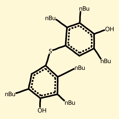 CCCCc1cc(Sc2cc(CCCC)c(O)c(CCCC)c2CCCC)c(CCCC)c(CCCC)c1O